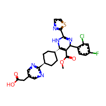 COC(=O)C1=C([C@H]2CC[C@H](c3ncc(CC(=O)O)cn3)CC2)NC(c2nccs2)=NC1c1ccc(F)cc1Cl